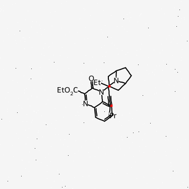 CCOC(=O)c1nc2ccccc2n(C2CC3CCC(C2)N3C(C#CC(C)C)CC)c1=O